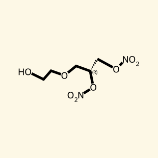 O=[N+]([O-])OC[C@@H](COCCO)O[N+](=O)[O-]